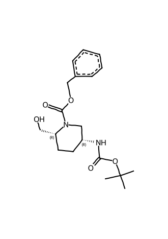 CC(C)(C)OC(=O)N[C@@H]1CC[C@H](CO)N(C(=O)OCc2ccccc2)C1